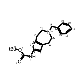 CC(C)(C)OC(=O)Nc1cc2c(s1)CCN(Cc1ccccc1)CC2